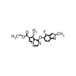 CCOC(=O)c1cn2ncnc(Oc3ccc4c(c3F)=CC(C)N=4)c2c1C